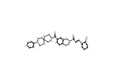 O=C(/C=C/c1ccccc1Cl)N1CCc2ccc(C(=O)N3CCC4(CC3)CCN(c3ccncc3)CC4)cc2C1